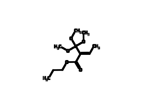 CC=C(C(=O)OCCC)[Si](OC)(OC)OC